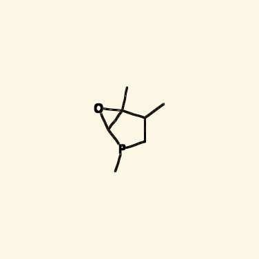 CC1CP(C)C2OC12C